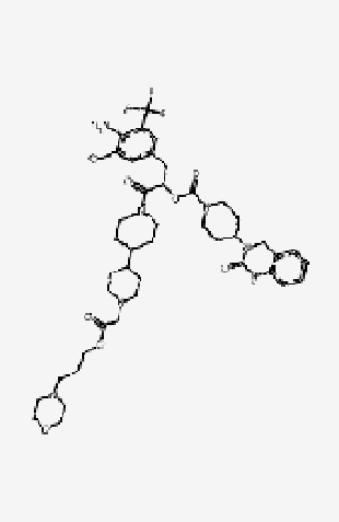 Nc1c(Cl)cc(C[C@@H](OC(=O)N2CCC(N3Cc4ccccc4NC3=O)CC2)C(=O)N2CCC(C3CCN(CC(=O)OCCCN4CCOCC4)CC3)CC2)cc1C(F)(F)F